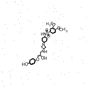 COc1ccc(S(=O)(=O)Nc2ccc(N3CC(NC[C@H](O)COc4ccc(O)cc4)C3)cc2)cc1OC